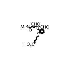 CNC(=O)CCC(C=O)N(C)Cc1c(C=O)cccc1SCCCCCC(=O)O